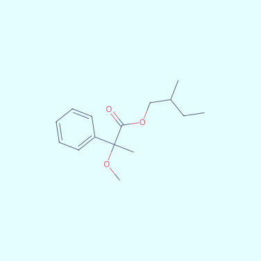 CCC(C)COC(=O)C(C)(OC)c1ccccc1